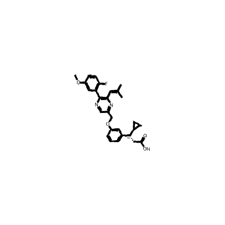 COc1ccc(F)c(-c2ncc(COc3cccc([C@@H](CC(=O)O)C4CC4)c3)nc2C=C(C)C)c1